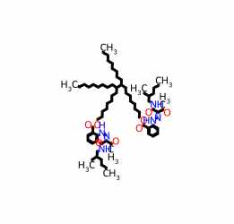 CCCCCCCCCC(CCCCCCCCOC(=O)c1ccccc1N/N=C(/C(C)=O)C(=O)NCC(CC)CCCC)C(CCCCCCCCC)CCCCCCCCOC(=O)c1ccccc1N/N=C(/C(C)=O)C(=O)NCC(CC)CCCC